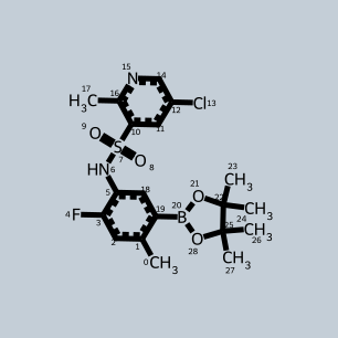 Cc1cc(F)c(NS(=O)(=O)c2cc(Cl)cnc2C)cc1B1OC(C)(C)C(C)(C)O1